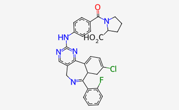 O=C(O)C1CCCN1C(=O)c1ccc(Nc2ncc3c(n2)C2=CC=C(Cl)CC2C(c2ccccc2F)=NC3)cc1